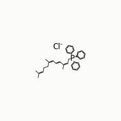 CC(C)=CCCC(C)=CC=CC(C)=CC[P+](c1ccccc1)(c1ccccc1)c1ccccc1.[Cl-]